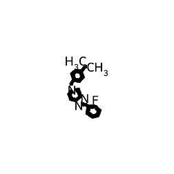 CC(C)c1ccc(Cn2ccc3nc(-c4ccccc4F)nc-3c2)cc1